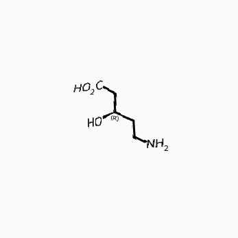 NCC[C@@H](O)CC(=O)O